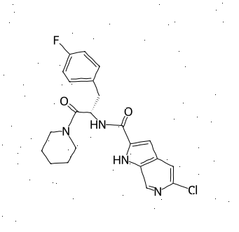 O=C(N[C@@H](Cc1ccc(F)cc1)C(=O)N1CCCCC1)c1cc2cc(Cl)ncc2[nH]1